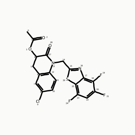 CC(=O)OC1Cc2cc(Cl)ccc2N(Cc2nc3c(F)c(F)cc(F)c3s2)C1=O